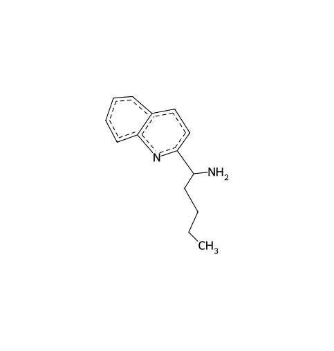 CCCCC(N)c1ccc2ccccc2n1